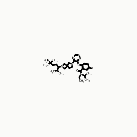 CCN(C(=O)c1cc(F)ccc1Oc1nncnc1N1CCC2(C1)CN(C(CCC(C)(C)N)C(C)C)C2)C(C)C